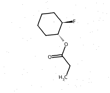 CCC(=O)O[C@@H]1CCCC[C@H]1F